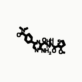 COc1ccsc1C(=O)NNC(=O)c1nc(-c2ccc(C(=O)N(C)C)cc2)cnc1N